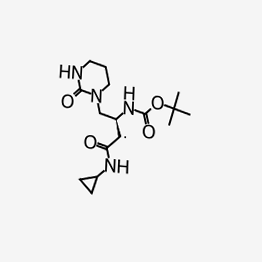 CC(C)(C)OC(=O)N[C@@H]([CH]C(=O)NC1CC1)CN1CCCNC1=O